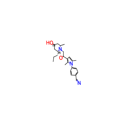 CCC[C@@H]1C[C@@H](O)CC(C)N1CC(=O)c1cc(C)n(-c2ccc(C#N)cc2)c1C